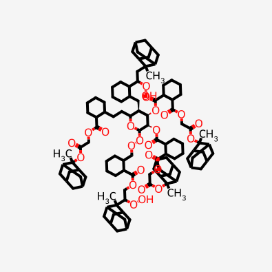 CC1(CC(OO)C2CCCCC2C[C@@H]2C(CCC3CCCCC3C(=O)OCC(=O)OC3(C)C4CC5CC(C4)CC3C5)OC(OOCC3CCCCC3C(=O)OCC(OO)C3(C)C4CC5CC(C4)CC3C5)[C@@H](OC(=O)C3CCCCC3C(=O)OCC(=O)OC3(C)C4CC5CC(C4)CC3C5)[C@H]2OC(=O)C2CCCCC2C(=O)OCC(=O)OC2(C)C3CC4CC(C3)CC2C4)C2CC3CC(C2)CC1C3